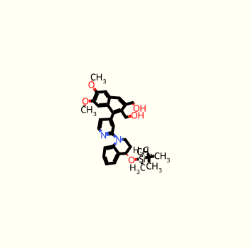 COc1cc2cc(CO)c(CO)c(-c3ccnc(N4CC[C@H](O[Si](C)(C)C(C)(C)C)c5ccccc54)c3)c2cc1OC